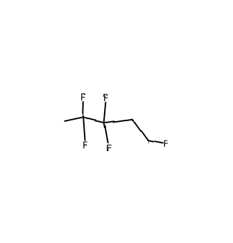 CC(F)(F)C(F)(F)C[CH]F